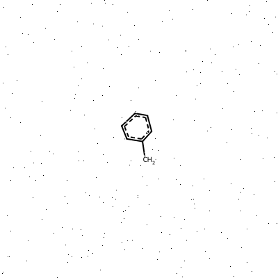 [CH2]c1[c]cccc1